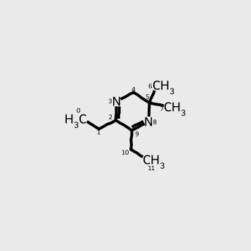 CCC1=NCC(C)(C)N=C1CC